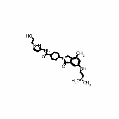 Cc1cc(NCCN(C)C)cc2c1CN(C1CCC(C(=O)Nc3ccn(CCO)n3)CC1)C2=O